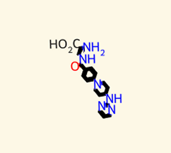 N[C@@H](CNC(=O)c1ccc(N2CCC(Nc3ncccn3)CC2)cc1)C(=O)O